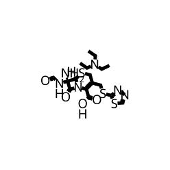 CCN(CC)CC.N[C@]1(NC=O)C(=O)N2C(C(=O)O)=C(CSc3nncs3)CS[C@H]21